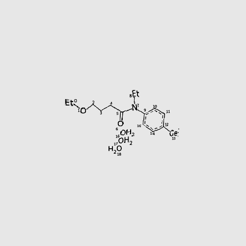 CCOCCCC(=O)N(CC)c1cc[c]([Ge])cc1.O.O.O